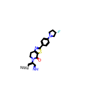 CN/C=C(\C=N)N1CCc2nc(-c3ccc(N4CC[C@H](F)C4)cc3)sc2C1=O